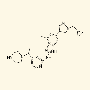 Cc1cc(C2C=NN(CC3CC3)C2)cc2[nH]c(Nc3cc(C(C)N4CCNCC4)ccn3)nc12